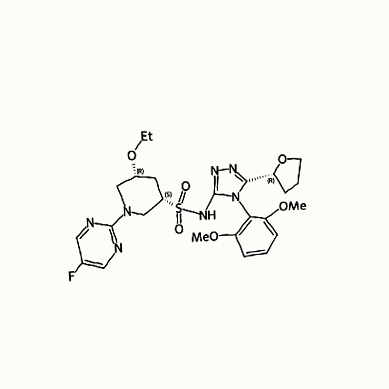 CCO[C@@H]1C[C@H](S(=O)(=O)Nc2nnc([C@H]3CCCO3)n2-c2c(OC)cccc2OC)CN(c2ncc(F)cn2)C1